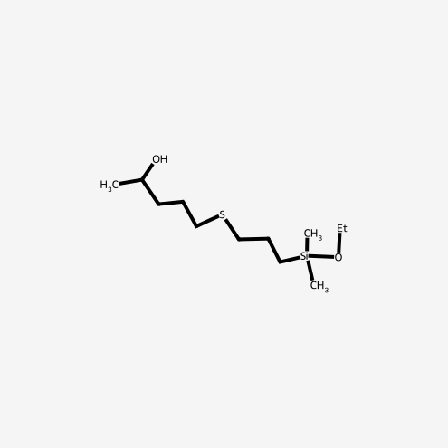 CCO[Si](C)(C)CCCSCCCC(C)O